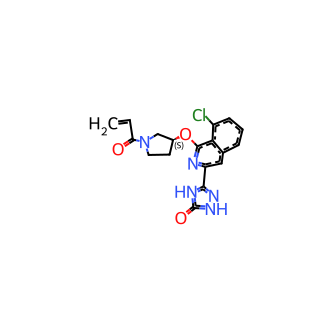 C=CC(=O)N1CC[C@H](Oc2nc(-c3n[nH]c(=O)[nH]3)cc3cccc(Cl)c23)C1